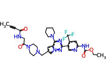 CC#CC(=O)NCC(=O)N1CCN(Cc2cc3c(N4CCCCC4)nc(-c4cnc(NC(=O)OCC)cc4C(F)(F)F)nn3c2)CC1